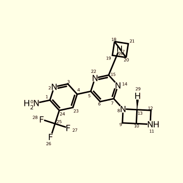 Nc1ncc(-c2cc(N3CC4NC[C@H]43)nc(N3CC4CC3C4)n2)cc1C(F)(F)F